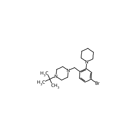 CC(C)(C)N1CCN(Cc2ccc(Br)cc2N2CCCCC2)CC1